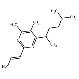 C/C=C/c1nc(C)c(C)c(N(C)CCN(C)C)n1